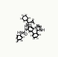 Cc1ccc(NC(=O)Nc2cc(-c3ccccc3-c3nnn[nH]3)ccc2NC(C2CCCCC2)C2CC2)cc1